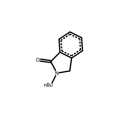 CCCCN1Cc2ccccc2C1=O